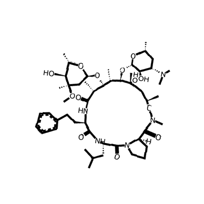 CO[C@]1(C)C[C@H](O[C@@H]2[C@H](C)[C@@H](O[C@@H]3O[C@H](C)C[C@H](N(C)C)[C@H]3O)[C@](C)(O)C[C@@H](C)CN(C)C(=O)[C@H]3CCCN3C(=O)[C@H](CC(C)C)NC(=O)[C@@H](CCc3ccccc3)NC(=O)[C@@H]2C)O[C@@H](C)[C@@H]1O